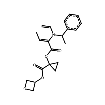 C=CN(/C(=C\C)C(=O)OC1(C(=O)OC2COC2)CC1)C(C)c1ccccc1